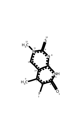 Cc1c(F)c(=O)[nH]c2nc(=S)n(C)cc12